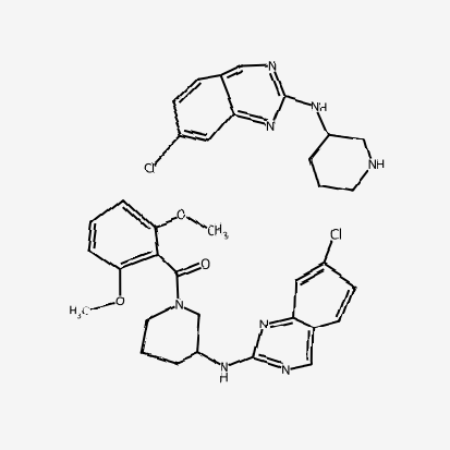 COc1cccc(OC)c1C(=O)N1CCCC(Nc2ncc3ccc(Cl)cc3n2)C1.Clc1ccc2cnc(NC3CCCNC3)nc2c1